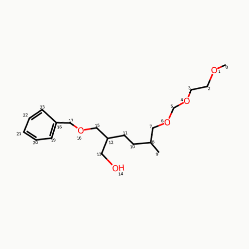 COCCOCOCC(C)CCC(CO)COCc1ccccc1